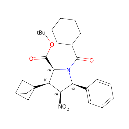 CC(C)(C)OC(=O)[C@@H]1[C@H](C23CC(C2)C3)[C@H]([N+](=O)[O-])[C@H](c2ccccc2)N1C(=O)C1CCCCC1